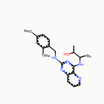 CCCCC(Nc1nc(NCc2ccc(OC)cc2OC)nc2cccnc12)C(C)O